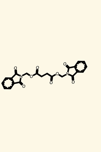 O=C(CCC(=O)OCN1C(=O)c2ccccc2C1=O)OCN1C(=O)c2ccccc2C1=O